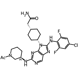 CC(=O)N1CCC[C@@H](Nc2ncc3nc(Nc4c(F)cc(Cl)cc4F)n([C@H]4CC[C@@H](CC(N)=O)CC4)c3n2)C1